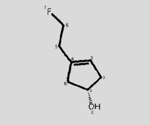 O[C@H]1CC=C(CCF)C1